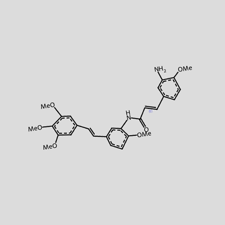 COc1ccc(/C=C/C(=O)Nc2cc(C=Cc3cc(OC)c(OC)c(OC)c3)ccc2OC)cc1N